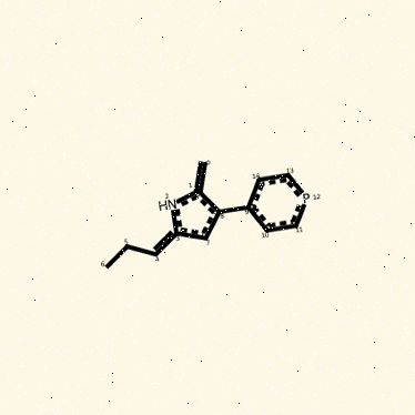 C=c1[nH]/c(=C\CC)cc1-c1ccpcc1